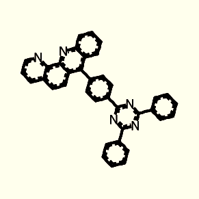 c1ccc(-c2nc(-c3ccccc3)nc(-c3ccc(-c4c5ccccc5nc5c4ccc4cccnc45)cc3)n2)cc1